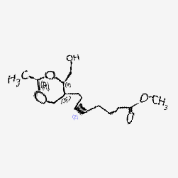 COC(=O)CCC/C=C\C[C@H]1CO[C@@H](C)O[C@H]1CO